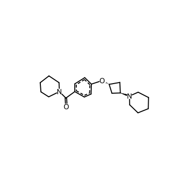 O=C(c1ccc(O[C@H]2C[C@H](N3CCCCC3)C2)cc1)N1CCCCC1